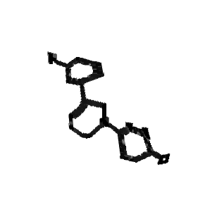 Fc1cccc(C2=CCCN(c3ccc(Cl)nn3)C2)c1